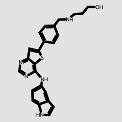 OCCCNCc1ccc(-c2cc3ncnc(Nc4ccc5[nH]ccc5c4)c3s2)cc1